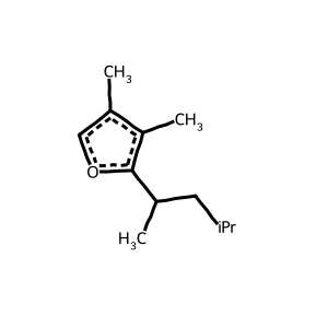 Cc1coc(C(C)CC(C)C)c1C